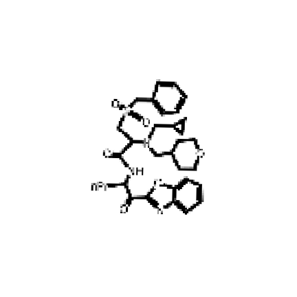 CCCC(NC(=O)C(CS(=O)(=O)Cc1ccccc1)N(CC1CCOCC1)CC1CC1)C(=O)c1nc2ccccc2o1